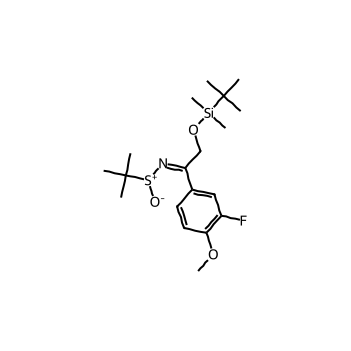 COc1ccc(/C(CO[Si](C)(C)C(C)(C)C)=N\[S+]([O-])C(C)(C)C)cc1F